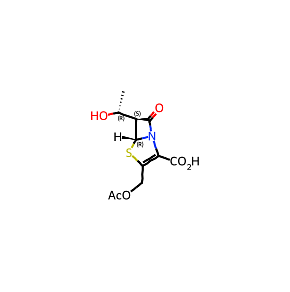 CC(=O)OCC1=C(C(=O)O)N2C(=O)[C@H]([C@@H](C)O)[C@H]2S1